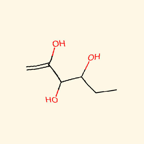 C=C(O)C(O)C(O)CC